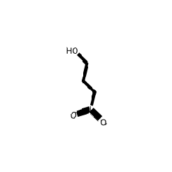 O=I(=O)CCCO